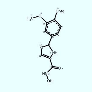 COc1ccc(C2NC(C(=O)NO)=CO2)cc1OC(F)(F)F